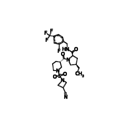 CC[C@@H]1C[C@H](C(=O)NCc2ccc(C(F)(F)F)cc2F)N(C(=O)[C@H]2CCCN(S(=O)(=O)N3CC(C#N)C3)C2)C1